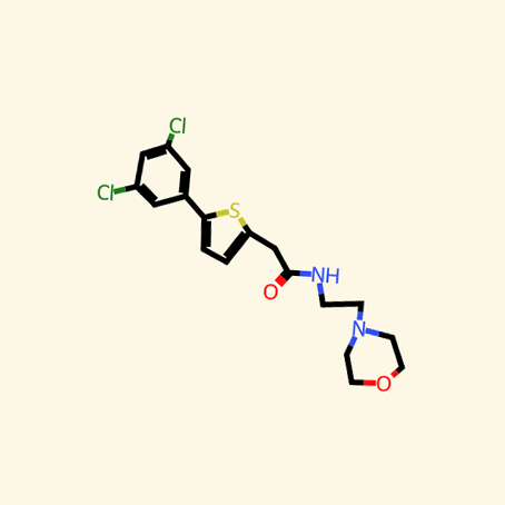 O=C(Cc1ccc(-c2cc(Cl)cc(Cl)c2)s1)NCCN1CCOCC1